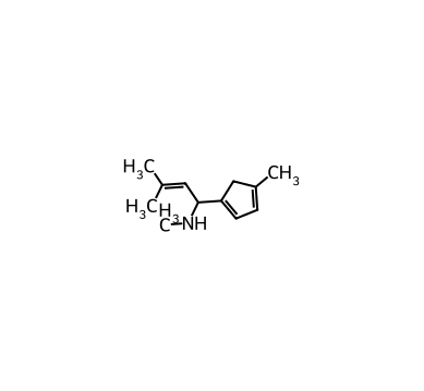 CNC(C=C(C)C)C1=CC=C(C)C1